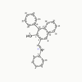 Oc1c(/C=N/c2ccccc2)cc2ccccc2c1-c1ccccc1